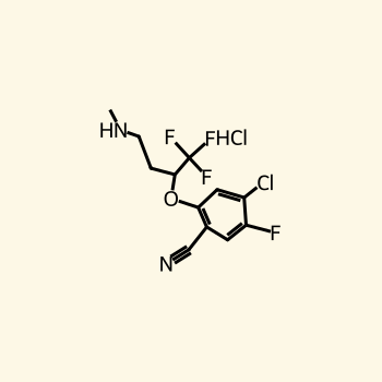 CNCCC(Oc1cc(Cl)c(F)cc1C#N)C(F)(F)F.Cl